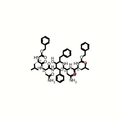 CC(C)C[C@H](NC(=O)OCc1ccccc1)C(=O)N[C@@H](CC(N)=O)C(=O)NC(Cc1ccccc1)C(O)C(Cc1ccccc1)NC(=O)[C@H](CC(N)=O)NC(=O)[C@H](CC(C)C)NC(=O)OCc1ccccc1